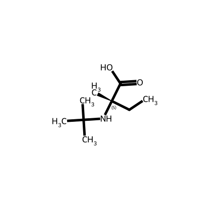 CC[C@](C)(NC(C)(C)C)C(=O)O